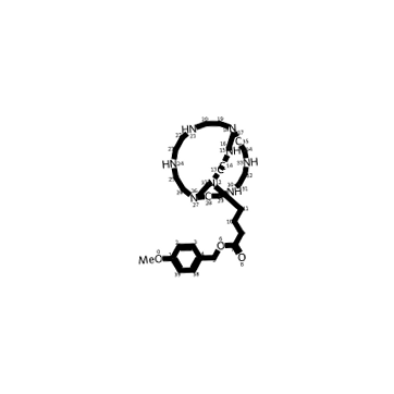 COc1ccc(COC(=O)CCCN2CCNCCN3CCNCCNCCN(CCNCCNCC3)CC2)cc1